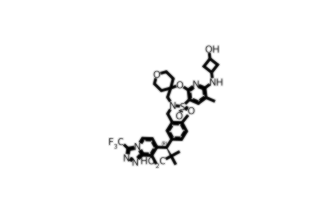 Cc1ccc([C@H](c2ccn3c(C(F)(F)F)nnc3c2C)C(C)(C)C(=O)O)cc1CN1CC2(CCOCC2)Oc2nc(NC3CC(O)C3)c(C)cc2S1(=O)=O